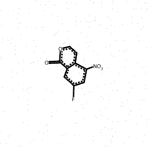 O=c1occc2c([N+](=O)[O-])cc(F)cc12